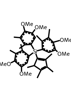 COc1cc([Si](C2=C(C)C(C)=C(C)C2C)(c2cc(OC)c(OC)c(C)c2C)c2cc(OC)c(OC)c(C)c2C)c(C)c(C)c1OC